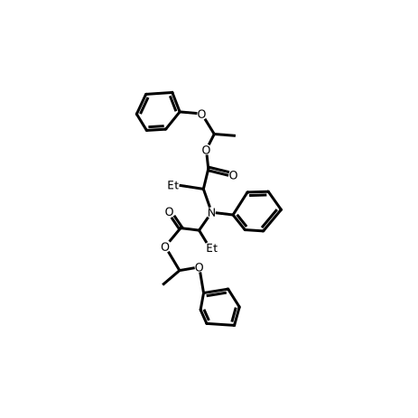 CCC(C(=O)OC(C)Oc1ccccc1)N(c1ccccc1)C(CC)C(=O)OC(C)Oc1ccccc1